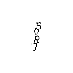 C=CCCc1cc2ccc([C@@H]3CC[C@@H]4CC(CCC)CCC4C3)cc2cc1F